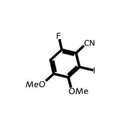 COc1cc(F)c(C#N)c(I)c1OC